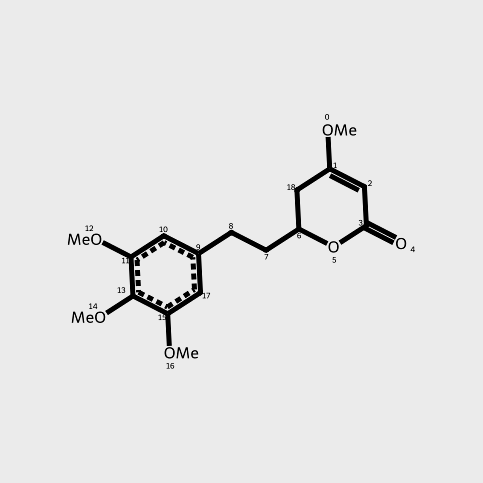 COC1=CC(=O)OC(CCc2cc(OC)c(OC)c(OC)c2)C1